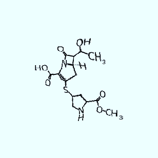 COC(=O)C1CC(SC2=C(C(=O)O)N3C(=O)C(C(C)O)[C@H]3C2)CN1